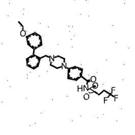 CCOc1cccc(-c2ccccc2CN2CCN(c3ccc(C(=O)NS(=O)(=O)CCC(F)(F)F)cc3)CC2)c1